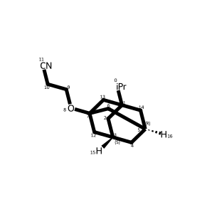 CC(C)C12C[C@@H]3C[C@@H](CC(OCCC#N)(C3)C1)C2